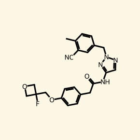 Cc1ccc(Cn2ncc(NC(=O)Cc3ccc(OCC4(F)COC4)cc3)n2)cc1C#N